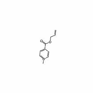 C=CCOC(=O)c1cc[n+](C)cc1